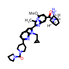 COc1cc(C(=O)N2[C@H]3CC[C@@H]2[C@H](N)C3)cc2nc(-c3cc4ccc(C5CCN(C(=O)N6CCCC6)CC5)nc4n3CC3CC3)c(C)n12